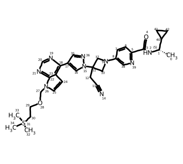 C[C@H](NC(=O)c1ccc(N2CC(CC#N)(n3cc(-c4ncnc5c4ccn5COCCS(C)(C)C)cn3)C2)cn1)C1CC1